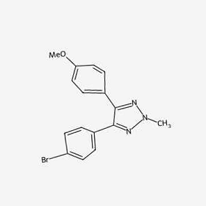 COc1ccc(-c2nn(C)nc2-c2ccc(Br)cc2)cc1